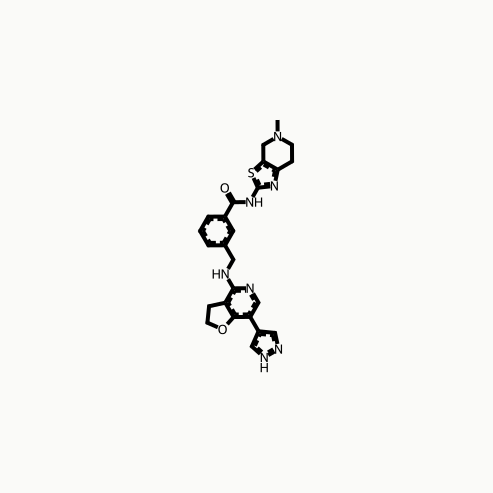 CN1CCc2nc(NC(=O)c3cccc(CNc4ncc(-c5cn[nH]c5)c5c4CCO5)c3)sc2C1